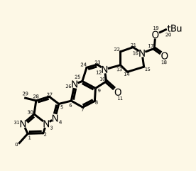 Cc1cn2nc(-c3ccc4c(=O)n(C5CCN(C(=O)OC(C)(C)C)CC5)ccc4n3)cc(C)c2n1